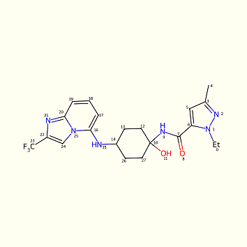 CCn1nc(C)cc1C(=O)NC1(O)CCC(Nc2cccc3nc(C(F)(F)F)cn23)CC1